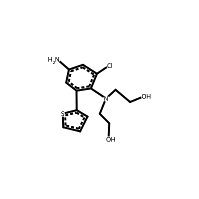 Nc1cc(Cl)c(N(CCO)CCO)c(-c2cccs2)c1